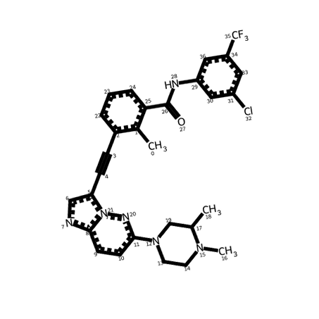 Cc1c(C#Cc2cnc3ccc(N4CCN(C)C(C)C4)nn23)cccc1C(=O)Nc1cc(Cl)cc(C(F)(F)F)c1